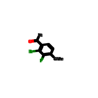 CCC(=O)c1ccc(OC)c(F)c1Br